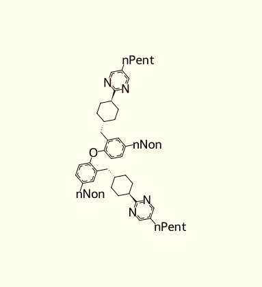 CCCCCCCCCc1ccc(Oc2ccc(CCCCCCCCC)cc2C[C@H]2CC[C@H](c3ncc(CCCCC)cn3)CC2)c(C[C@H]2CC[C@H](c3ncc(CCCCC)cn3)CC2)c1